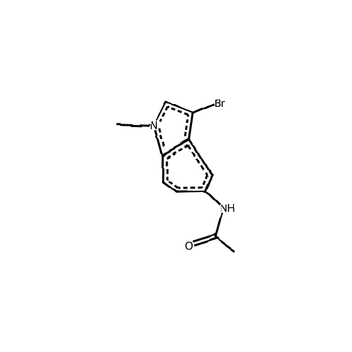 CC(=O)Nc1ccc2c(c1)c(Br)cn2C